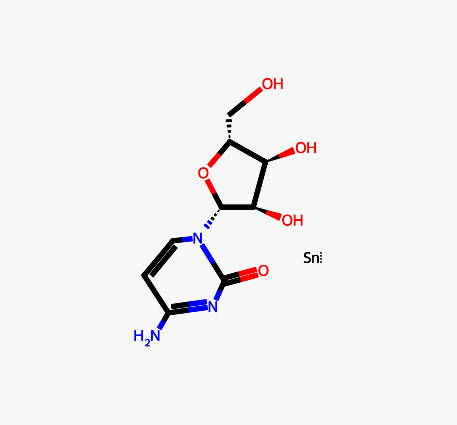 Nc1ccn([C@@H]2O[C@H](CO)[C@@H](O)[C@H]2O)c(=O)n1.[Sn]